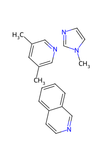 Cc1cncc(C)c1.Cn1ccnc1.c1ccc2cnccc2c1